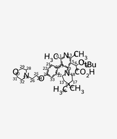 Cc1nc(C)c(C(OC(C)(C)C)C(=O)O)c(N2CCC(C)(C)CC2)c1-c1ccc(OCCN2CCOCC2)cc1